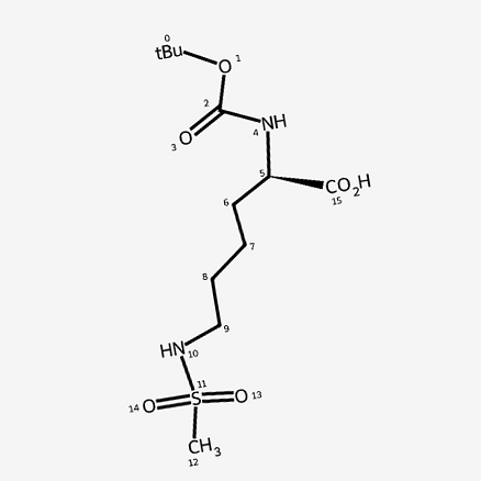 CC(C)(C)OC(=O)N[C@H](CCCCNS(C)(=O)=O)C(=O)O